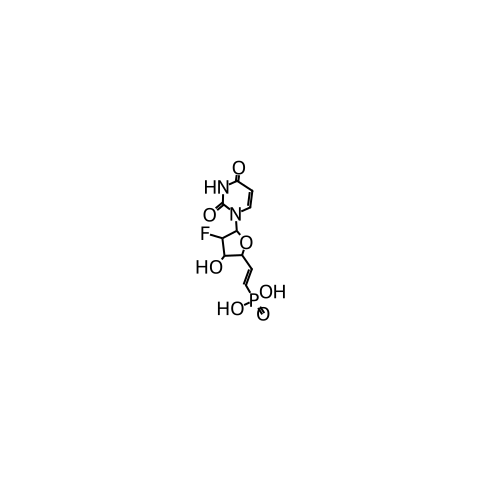 O=c1ccn(C2OC(/C=C/P(=O)(O)O)C(O)C2F)c(=O)[nH]1